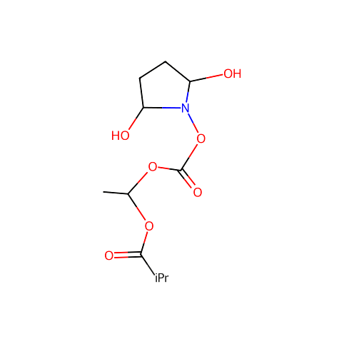 CC(OC(=O)ON1C(O)CCC1O)OC(=O)C(C)C